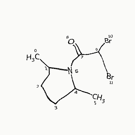 CC1CCC(C)N1C(=O)C(Br)Br